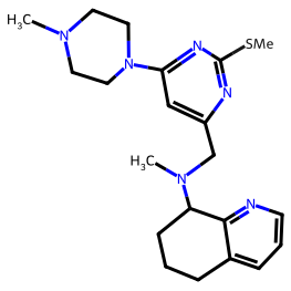 CSc1nc(CN(C)C2CCCc3cccnc32)cc(N2CCN(C)CC2)n1